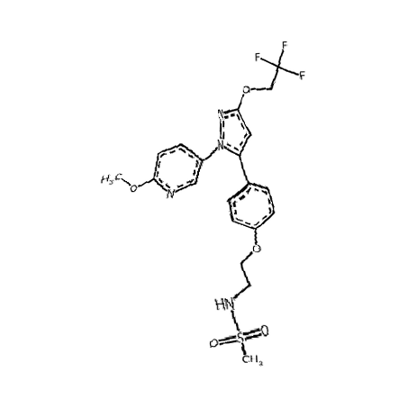 COc1ccc(-n2nc(OCC(F)(F)F)cc2-c2ccc(OCCNS(C)(=O)=O)cc2)cn1